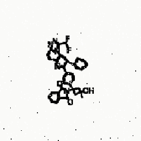 C[C@]1(O)C[C@@](c2ccc(-c3nc4ccc5nnc(C(F)F)n5c4cc3-c3ccccc3)cc2)(N2C(=O)c3ccccc3C2=O)C1